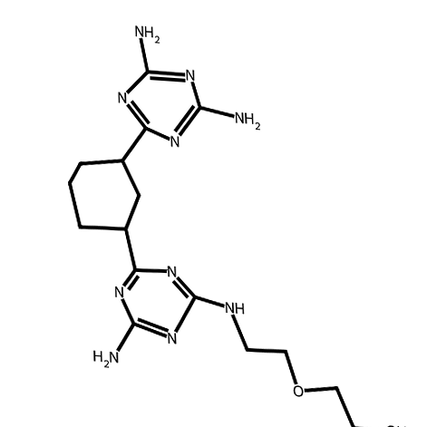 Nc1nc(N)nc(C2CCCC(c3nc(N)nc(NCCOCCO)n3)C2)n1